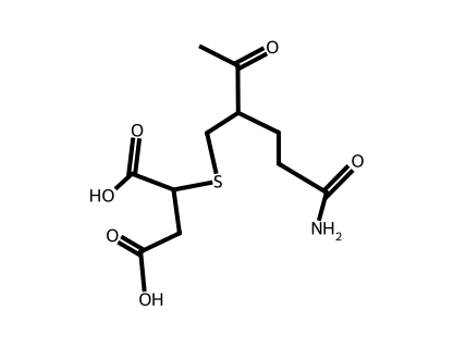 CC(=O)C(CCC(N)=O)CSC(CC(=O)O)C(=O)O